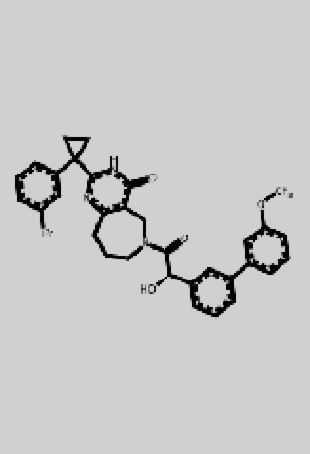 CC(C)c1cccc(C2(c3nc4c(c(=O)[nH]3)CN(C(=O)[C@H](O)c3cccc(-c5cccc(OC(F)(F)F)c5)c3)CCC4)CC2)c1